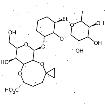 CC[C@@H]1CCC[C@@H](O[C@@H]2OC(CO)[C@H](O)C3O[C@@H](C(=O)O)CCC4(CC4)OC32)C1O[C@@H]1OC(C)[C@@H](O)C(O)[C@@H]1O